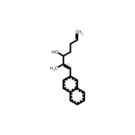 C=CCCC(O)/C(C)=C/c1ccc2ccccc2c1